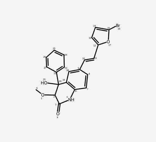 COC1C(=O)Nc2ccc(C=Cc3ccc(Br)o3)cc2C1(O)c1ccccc1